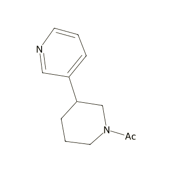 CC(=O)N1CCCC(c2cccnc2)C1